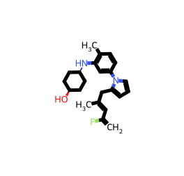 C=C(F)/C=C(\C)Cc1cccn1-c1ccc(C)c(N[C@H]2CC[C@H](O)CC2)c1